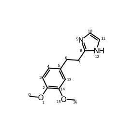 COc1ccc(CCc2ncc[nH]2)cc1OC